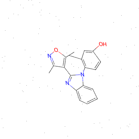 Cc1cc(O)ccc1-n1c(-c2c(C)noc2C)nc2ccccc21